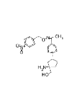 CC(=NOCc1ccc([N+](=O)[O-])cc1)c1ccc([C@@H]2CC[C@](N)(CO)C2)cc1